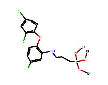 CCO[Si](CCCNc1cc(Cl)ccc1Oc1ccc(Cl)cc1Cl)(OCC)OCC